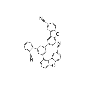 N#Cc1ccc2oc3ccc(-c4cc(-c5ccccc5C#N)cc(-c5cccc6oc7ccc(C#N)cc7c56)c4)cc3c2c1